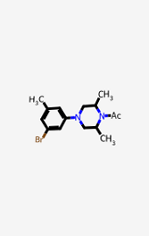 CC(=O)N1C(C)CN(c2cc(C)cc(Br)c2)CC1C